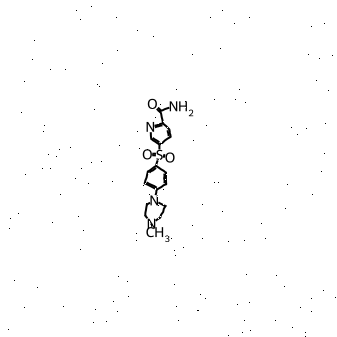 CN1CCN(c2ccc(S(=O)(=O)c3ccc(C(N)=O)nc3)cc2)CC1